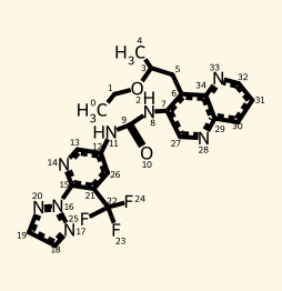 CCOC(C)Cc1c(NC(=O)Nc2cnc(-n3nccn3)c(C(F)(F)F)c2)cnc2cccnc12